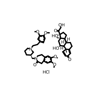 COc1ccc(CCN2CCC[C@H](CN3CCc4cc(OC)c(OC)cc4CC3=O)C2)cc1OC.C[C@]12C=CC(=O)C=C1CC[C@@H]1[C@@H]2[C@@H](O)C[C@@]2(C)[C@H]1CC[C@]2(O)C(=O)CO.Cl